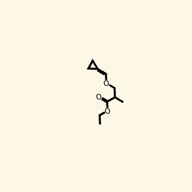 CCOC(=O)C(C)COC=C1CC1